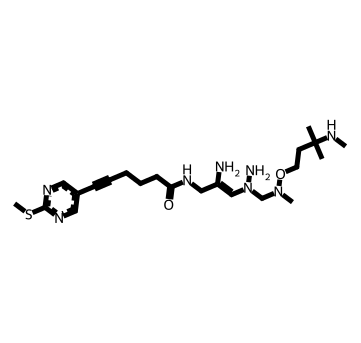 CNC(C)(C)CCON(C)CN(N)/C=C(\N)CNC(=O)CCCC#Cc1cnc(SC)nc1